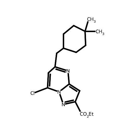 CCOC(=O)c1cc2nc(CC3CCC(C)(C)CC3)cc(Cl)n2n1